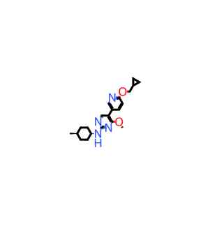 COc1nc(N[C@H]2CC[C@H](C)CC2)ncc1-c1ccc(OCC2CC2)nc1